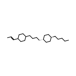 C/C=C/C1CCC(CCCC[C@H]2CC[C@H](CCCCC)CC2)CC1